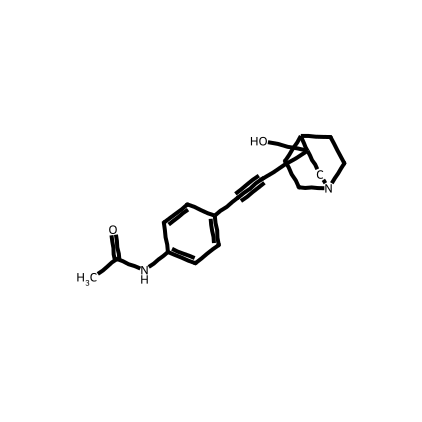 CC(=O)Nc1ccc(C#CC2(O)CN3CCC2CC3)cc1